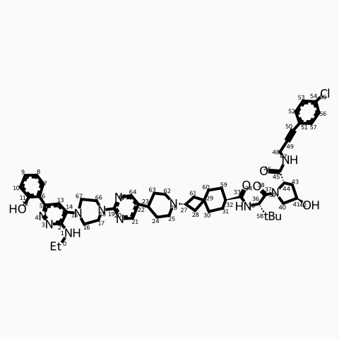 CCNc1nnc(-c2ccccc2O)cc1N1CCN(c2ncc(C3CCN([C@H]4CC5(CC[C@H](C(=O)N[C@H](C(=O)N6C[C@H](O)C[C@H]6C(=O)NCC#Cc6ccc(Cl)cc6)C(C)(C)C)CC5)C4)CC3)cn2)CC1